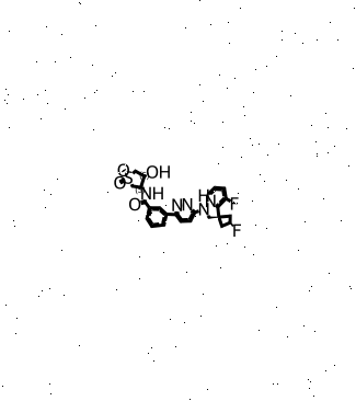 O=C(N[C@@H]1CS(=O)(=O)C[C@H]1O)c1cccc(-c2ccc(NC[C@]3(c4ncccc4F)C[C@H](F)C3)nn2)c1